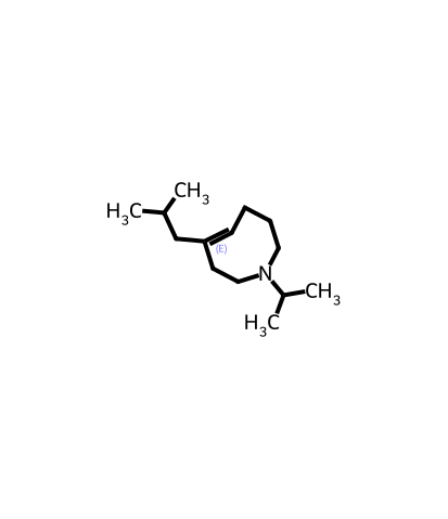 CC(C)C/C1=C\CCCN(C(C)C)CC1